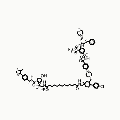 Cc1ncsc1-c1ccc([C@H](C)NC(=O)[C@@H]2C[C@@H](O)CN2C(=O)[C@@H](NC(=O)CCCCCCCCCCCC(=O)NCC2(C)CCC(c3ccc(Cl)cc3)=C(CN3CCN(c4ccc(C(=O)NS(=O)(=O)c5ccc(N[C@H](CCN6CCOCC6)CSc6ccccc6)c(S(=O)(=O)C(F)(F)F)c5)cc4)CC3)C2)C(C)(C)C)cc1